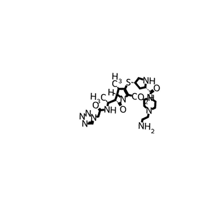 C[C@@H](NC(=O)Cn1cnnn1)[C@H]1C(=O)N2C(C(=O)O)=C(S[C@@H]3CN[C@H](C(=O)N4CCN(CCN)CC4)C3)[C@H](C)[C@H]12